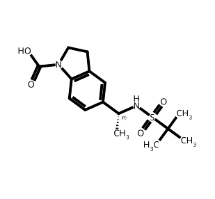 C[C@@H](NS(=O)(=O)C(C)(C)C)c1ccc2c(c1)CCN2C(=O)O